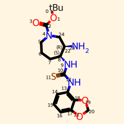 CC(C)(C)OC(=O)N1CCC[C@H](NC(=S)Nc2cccc3c2OCO3)[C@H](N)C1